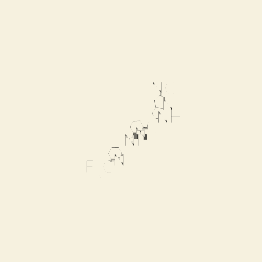 [C-]#[N+]c1cnc2[nH]cc(Cc3ccc(NCc4ccc(C(F)(F)F)nc4)nc3Cl)c2c1